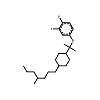 CCCC(C)CCCC1CCC(C(F)(F)Oc2ccc(F)c(F)c2)CC1